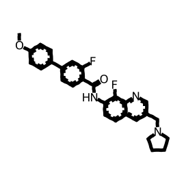 COc1ccc(-c2ccc(C(=O)Nc3ccc4cc(CN5CCCC5)cnc4c3F)c(F)c2)cc1